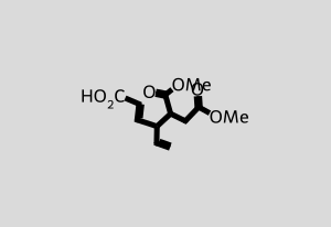 C=CC(/C=C/C(=O)O)C(CC(=O)OC)C(=O)OC